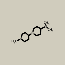 CN1CCC(N2CCC(N(C)C)CC2)CC1